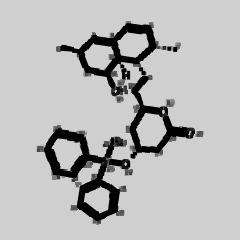 C[C@H]1C=C2C=C[C@H](C)[C@H](CC[C@@H]3C[C@@H](O[Si](c4ccccc4)(c4ccccc4)C(C)(C)C)CC(=O)O3)[C@H]2[C@@H](O)C1